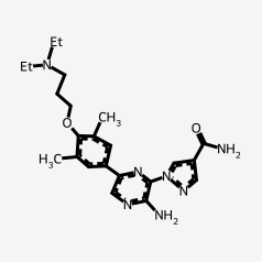 CCN(CC)CCCOc1c(C)cc(-c2cnc(N)c(-n3cc(C(N)=O)cn3)n2)cc1C